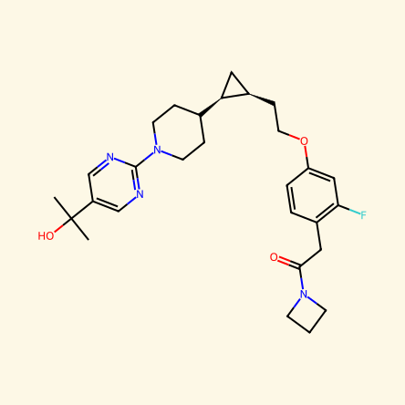 CC(C)(O)c1cnc(N2CCC([C@H]3C[C@H]3CCOc3ccc(CC(=O)N4CCC4)c(F)c3)CC2)nc1